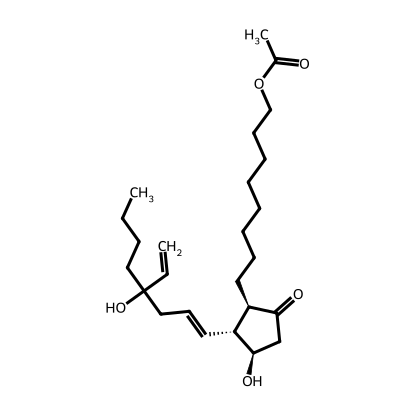 C=CC(O)(C/C=C/[C@H]1[C@H](O)CC(=O)[C@@H]1CCCCCCCCOC(C)=O)CCCC